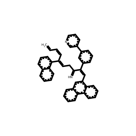 C=C/C=C\C(=C/CC(=N)/C(=C\c1cc2ccccc2c2ccccc12)c1cccc(-c2cccnc2)c1)c1cccc2ccccc12